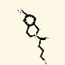 Nc1ccc2c(c1)CCN(C(=O)CCCCl)C2